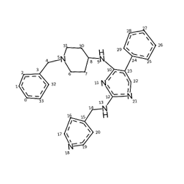 c1ccc(CN2CCC(Nc3nc(NCc4ccncc4)ncc3-c3ccccc3)CC2)cc1